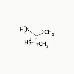 CCN.CS